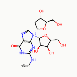 CCCCCCCCCNc1nc2c(c(=O)[nH]1)N=C[N+]2([C@@H]1C[C@H](O)[C@@H](CO)O1)[C@@H]1O[C@H](CO)[C@@H](O)[C@H]1O